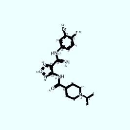 CC(C)N1CCC(C(=O)Nc2nonc2C(=N)Nc2ccc(F)c(Br)c2)CC1